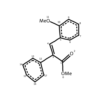 COC(=O)C(=Cc1ccccc1OC)c1ccccc1